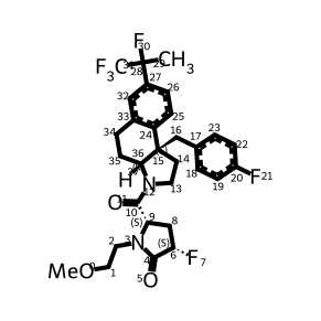 COCCN1C(=O)[C@@H](F)C[C@H]1C(=O)N1CC[C@@]2(Cc3ccc(F)cc3)c3ccc(C(C)(F)C(F)(F)F)cc3CC[C@@H]12